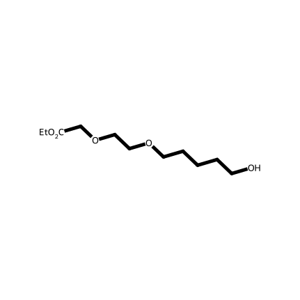 CCOC(=O)COCCOCCCCCO